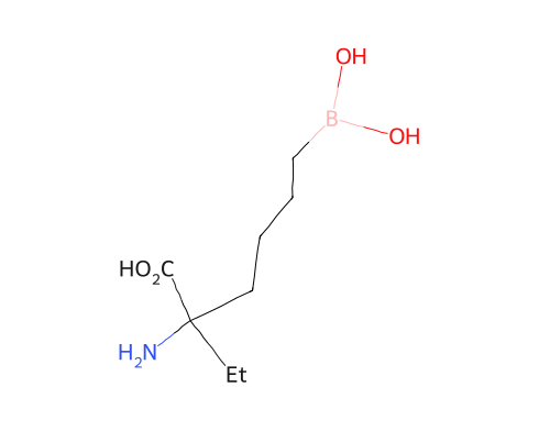 [CH2]CC(N)(CCCCB(O)O)C(=O)O